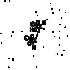 CC1=C(C#N)C(=O)N(c2ccccc2)C(=O)/C1=C\C=CC=Cc1c(C)c(C#N)c(=O)n(-c2ccccc2)c1O